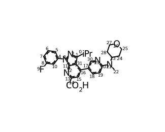 CC(C)c1nn(-c2cccc(F)c2)c2nc(C(=O)O)cc(-c3ccc(N(C)C4CCOCC4)nc3)c12